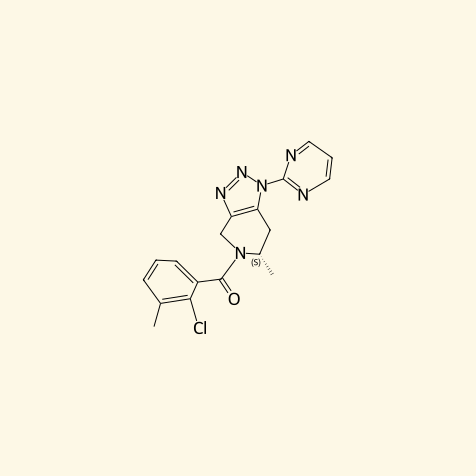 Cc1cccc(C(=O)N2Cc3nnn(-c4ncccn4)c3C[C@@H]2C)c1Cl